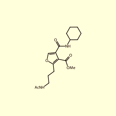 COC(=O)c1c(C(=O)NC2CCCCC2)coc1CCCNC(C)=O